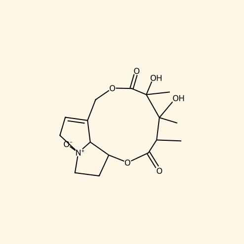 CC1C(=O)OC2CC[N+]3([O-])CC=C(COC(=O)C(C)(O)C1(C)O)C23